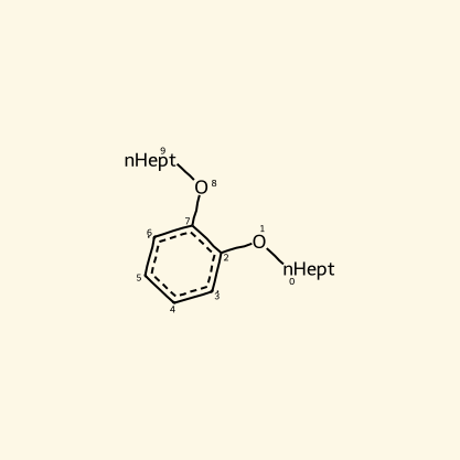 CCCCCCCOc1[c]cc[c]c1OCCCCCCC